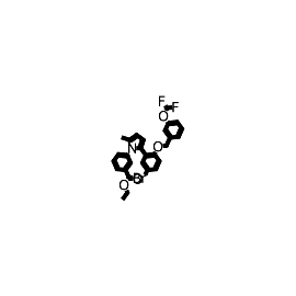 CCOC(=O)c1cccc(-n2c(C)ccc2-c2cc(Br)ccc2OCc2cccc(OC(F)F)c2)c1